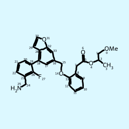 COCC(C)OC(=O)Cc1ccccc1OCc1cc(-c2cccc(CN)c2F)c2ccoc2c1